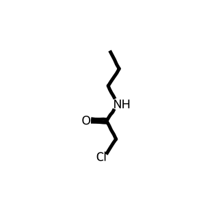 CCCNC(=O)CCl